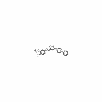 Cc1cc(OCC(O)CCN2CCN(c3ccccn3)CC2)ccc1Cl